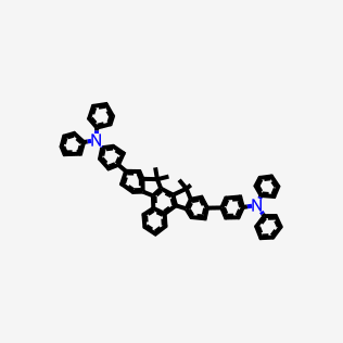 CC1(C)c2cc(-c3ccc(N(c4ccccc4)c4ccccc4)cc3)ccc2-c2c1c1c(c3ccccc23)-c2ccc(-c3ccc(N(c4ccccc4)c4ccccc4)cc3)cc2C1(C)C